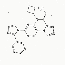 CCC1c2nncn2-c2cnc(-n3ccnc3-c3cncnc3)nc2N1C1CCC1